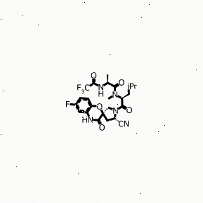 CC(C)C[C@@H](C(=O)N1C[C@@]2(C[C@H]1C#N)Oc1ccc(F)cc1NC2=O)N(C)C(=O)[C@H](C)NC(=O)C(F)(F)F